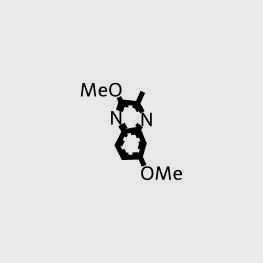 COc1ccc2nc(OC)c(C)nc2c1